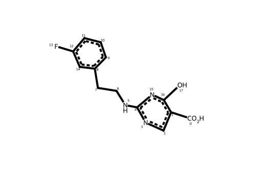 O=C(O)c1cnc(NCCc2cccc(F)c2)nc1O